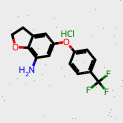 Cl.Nc1cc(Oc2ccc(C(F)(F)F)cc2)cc2c1OCC2